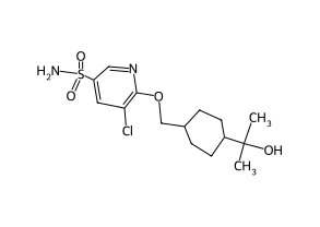 CC(C)(O)C1CCC(COc2ncc(S(N)(=O)=O)cc2Cl)CC1